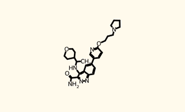 CC(Nc1c(C(N)=O)nnc2ccc(-c3ccc(OCCCN4CCCC4)nc3)cc12)C1CCOCC1